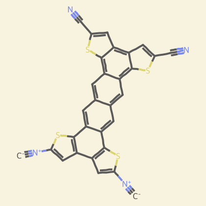 [C-]#[N+]c1cc2c3cc([N+]#[C-])sc3c3cc4cc5c(cc4cc3c2s1)c1sc(C#N)cc1c1cc(C#N)sc15